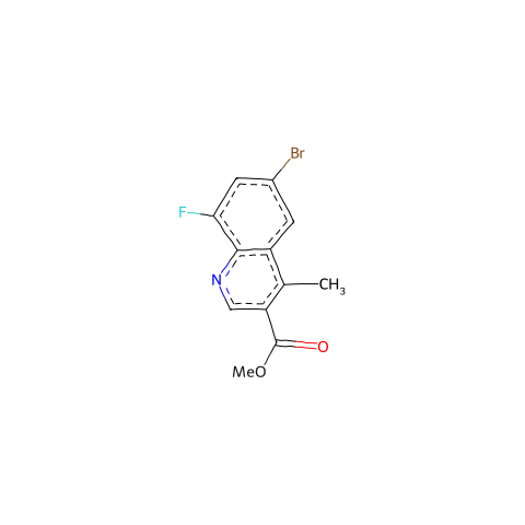 COC(=O)c1cnc2c(F)cc(Br)cc2c1C